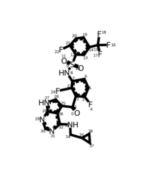 O=C(c1c(F)ccc(NS(=O)(=O)c2cc(C(F)(F)F)ccc2F)c1F)c1c[nH]c2ncnc(NCC3CC3)c12